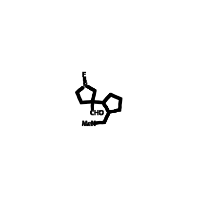 CNCC1CCCC1C1(C=O)CCN(F)C1